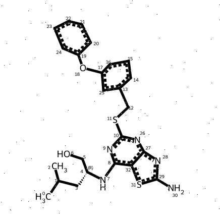 CC(C)C[C@H](CO)Nc1nc(SCc2cccc(Oc3ccccc3)c2)nc2nc(N)sc12